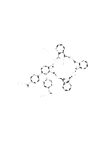 O=C(O)c1ccc(-c2ccc3c(c2-c2ccc(C(=O)O)cc2)-c2nc-3nc3[nH]c(nc4nc(nc5[nH]c(n2)c2ccccc52)-c2ccccc2-4)c2ccccc32)cc1.[Zn]